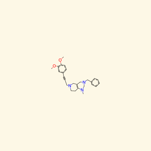 COc1ccc(C#CCN2CCC3=C(C2)CN(Cc2ccccc2)CN3C)cc1OC